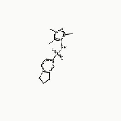 Cc1nn(C)c(C)c1NS(=O)(=O)c1ccc2c(c1)CCC2